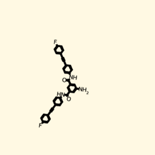 Nc1cc(C(=O)Nc2ccc(C#Cc3ccc(F)cc3)cc2)cc(C(=O)Nc2ccc(C#Cc3ccc(F)cc3)cc2)c1